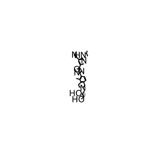 Cc1c(-c2noc(-c3cnc(NC(C)C)c(C#N)c3)n2)ccc2c1CCN(C[C@H](O)CO)C2